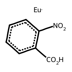 O=C(O)c1ccccc1[N+](=O)[O-].[Eu]